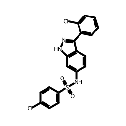 O=S(=O)(Nc1ccc2c(-c3ccccc3Cl)n[nH]c2c1)c1ccc(Cl)cc1